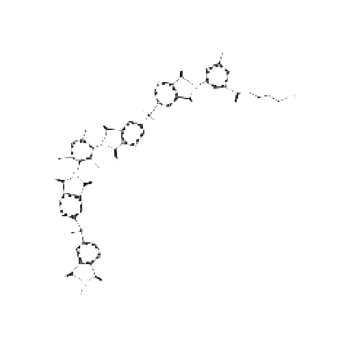 Cc1cc(C(=O)OCCCO)cc(N2C(=O)c3ccc(C(c4ccc5c(c4)C(=O)N(c4c(C)cc(C)c(N6C(=O)c7ccc(C(c8ccc9c(c8)C(=O)N(C)C9=O)(C(F)(F)F)C(F)(F)F)cc7C6=O)c4C)C5=O)(C(F)(F)F)C(F)(F)F)cc3C2=O)c1